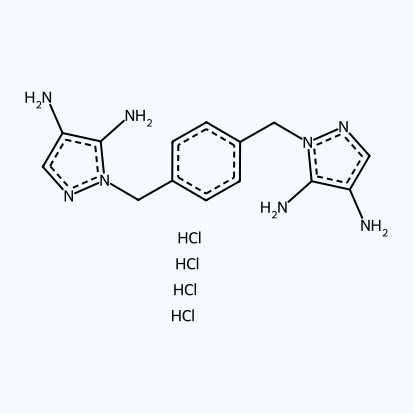 Cl.Cl.Cl.Cl.Nc1cnn(Cc2ccc(Cn3ncc(N)c3N)cc2)c1N